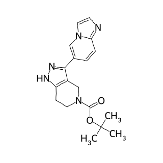 CC(C)(C)OC(=O)N1CCc2[nH]nc(-c3ccc4nccn4c3)c2C1